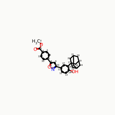 COC(=O)c1ccc(-c2cc(-c3ccc(O)c(C45CC6CC(CC(C6)C4)C5)c3)no2)cc1